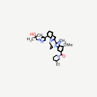 CC[C@@H]1CCCN(C(=O)c2cc(OC)c3c(c2)nc(-c2cc4cccc(-c5cnn(CC(C)(C)O)c5)c4n2CC2CC2)n3C)C1